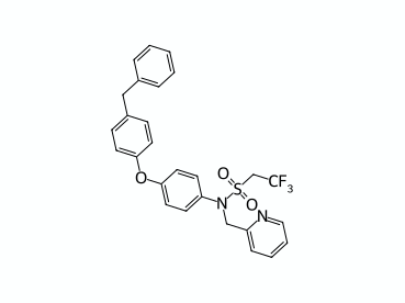 O=S(=O)(CC(F)(F)F)N(Cc1ccccn1)c1ccc(Oc2ccc(Cc3ccccc3)cc2)cc1